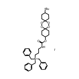 CC(C)(C)C1CCC2(CC1)OOC1(CCC(OC(=O)NCCC[N+](Cc3ccccc3)(Cc3ccccc3)Cc3ccccc3)CC1)OO2.[I-]